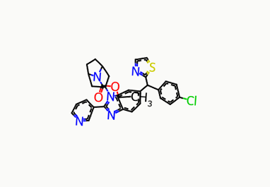 CCOC(=O)N1C2CCC1CC(n1c(-c3cccnc3)nc3ccc(C(c4ccc(Cl)cc4)c4nccs4)cc31)C2